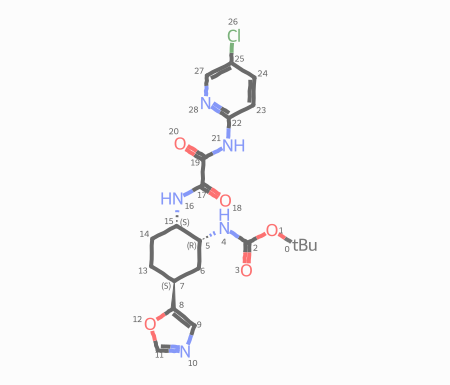 CC(C)(C)OC(=O)N[C@@H]1C[C@@H](c2cnco2)CC[C@@H]1NC(=O)C(=O)Nc1ccc(Cl)cn1